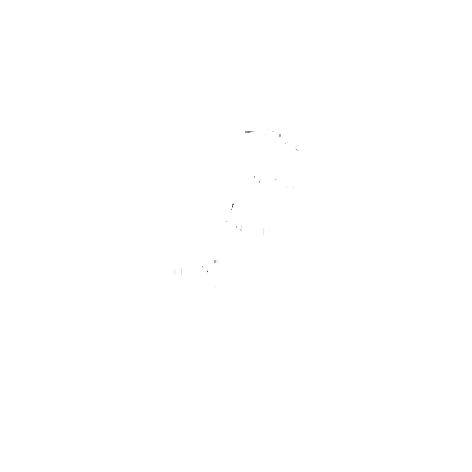 CN1C[C@H](N(C=O)OCc2ccccc2)CC[C@H]1C(=O)ON1C(=O)C2C(C1O)[C@@H]1C=C[C@H]2C1